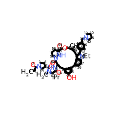 C=CC(=O)N1CC[C@H](C(=O)N(C)C(C(=O)N[C@H]2Cc3cc(O)cc(c3)-c3ccc4c(c3)c(c(-c3ccc(CN5CCCC5)cc3)n4CC)CC(C)(C)COC(=O)[C@@H]3CCCN(N3)C2=O)C(C)C)C1